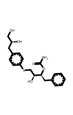 NC(=O)O[C@@H](Cc1ccccc1)[C@@H](O)CSc1ccc(C[C@H](O)CO)cc1